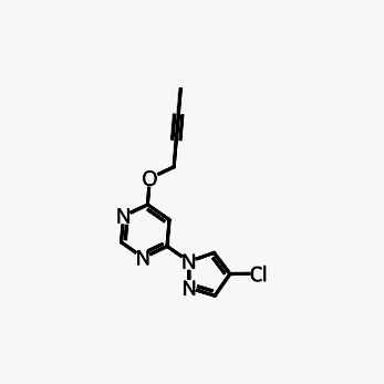 CC#CCOc1cc(-n2cc(Cl)cn2)ncn1